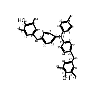 Cc1ccc(N(c2ccc(Cc3cc(C)c(O)c(C)c3)cc2)c2ccc(Cc3cc(C)c(O)c(C)c3)cc2)cc1